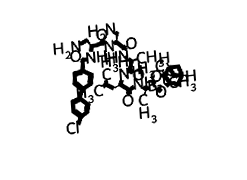 CC(C)C[C@H](NC(=O)[C@H](C)NC(=O)[C@H](CN)NC(=O)[C@H](CN)NC(=O)c1ccc(-c2ccc(Cl)cc2)cc1)C(=O)N[C@@H](C)B1OC2C[C@@H]3C[C@@H](C3(C)C)[C@]2(C)O1